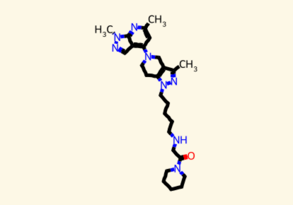 Cc1cc(N2CCc3c(c(C)nn3CCCCCNCC(=O)N3CCCCC3)C2)c2cnn(C)c2n1